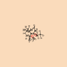 C#C[C@]1(O[Si](C)(C)C)[C@@H]([C@H](O[Si](C)(C)C(C)(C)C)[C@H](C)C=C)[C@@H]2[C@@H](C[C@H]1C)C2(C)C